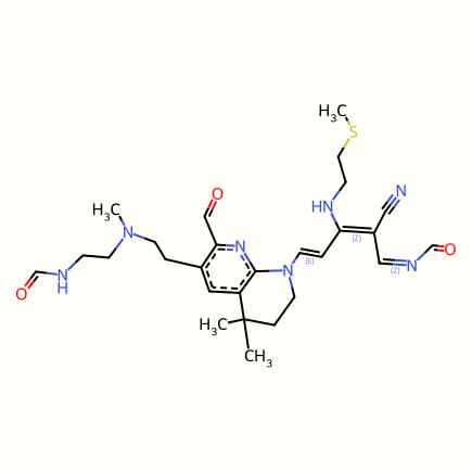 CSCCNC(/C=C/N1CCC(C)(C)c2cc(CCN(C)CCNC=O)c(C=O)nc21)=C(C#N)/C=N\C=O